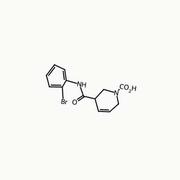 O=C(Nc1ccccc1Br)C1C=CCN(C(=O)O)C1